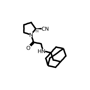 N#C[C@@H]1CCCN1C(=O)CNC12CC3CC(CC(C3)C1)C2